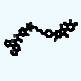 Cc1cc(NC(=O)Nc2cnc3ccnn3c2C2CCCC2)cnc1-c1noc(CCCCN2CCN(c3cc4c(cc3F)C(=O)N(C3CCC(=O)NC3=O)C4=O)CC2)n1